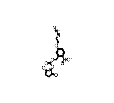 [N-]=[N+]=NCCOc1ccc([N+](=O)[O-])c(COC(=O)ON2C(=O)CCC2=O)c1